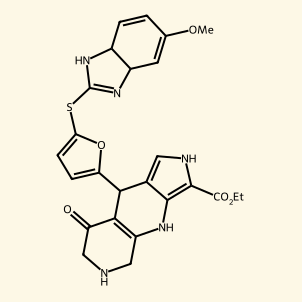 CCOC(=O)c1[nH]cc2c1NC1=C(C(=O)CNC1)C2c1ccc(SC2=NC3C=C(OC)C=CC3N2)o1